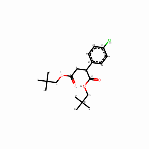 CC(C)(C)COC(=O)CC(C(=O)OCC(C)(C)C)c1ccc(Cl)cc1